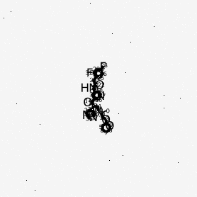 C[C@@H](COC1CCCCO1)N1CC(C(=O)c2cncc(NC(=O)Cc3ccc(F)cc3F)c2)c2cncnc21